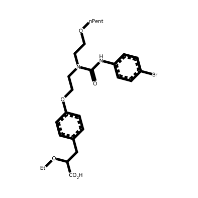 CCCCCOCCN(CCOc1ccc(CC(OCC)C(=O)O)cc1)C(=O)Nc1ccc(Br)cc1